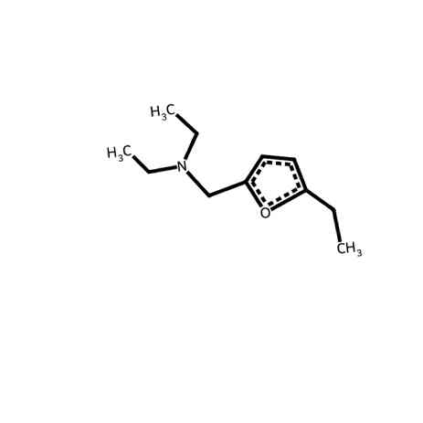 CCc1ccc(CN(CC)CC)o1